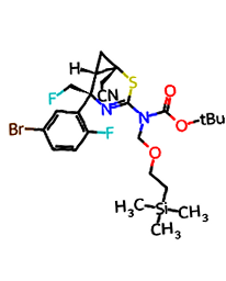 CC(C)(C)OC(=O)N(COCC[Si](C)(C)C)C1=N[C@](CF)(c2cc(Br)ccc2F)[C@@H]2C[C@]2(CC#N)S1